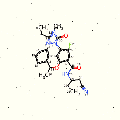 CCc1nn(-c2cc(OC(C)c3ccccc3)c(C(=O)NC(CC)CC#N)cc2F)c(=O)n1C